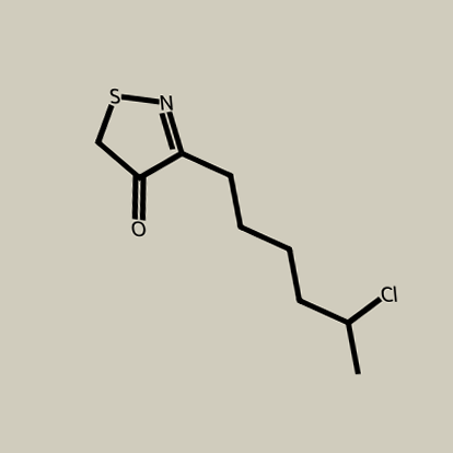 CC(Cl)CCCCC1=NSCC1=O